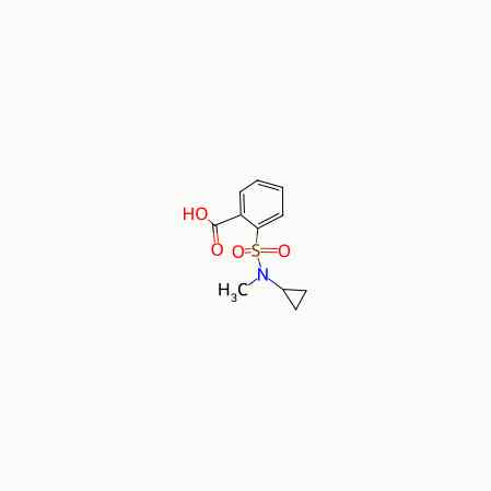 CN(C1CC1)S(=O)(=O)c1ccccc1C(=O)O